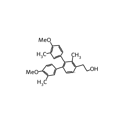 COc1ccc(-c2c[c]c(CCO)c(C)c2-c2ccc(OC)c(C)c2)cc1C